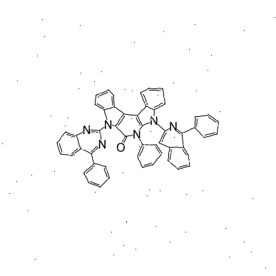 O=c1c2c(c3ccccc3n2-c2nc(-c3ccccc3)c3ccccc3n2)c2c3ccccc3n(-c3cc4ccccc4c(-c4ccccc4)n3)c2n1-c1ccccc1